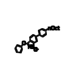 CCCCCCCCc1ccc(-c2ccc3c(c2)[SH]([O])C=C3Oc2ccccc2)cc1